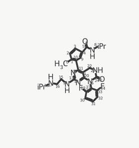 Cc1ccc(C(=O)NC(C)C)cc1-c1nc(NCCNC(C)C)nc2c1CNC(=O)N2c1c(F)cccc1F